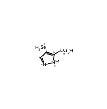 O=C(O)c1ccn[nH]1.[SeH2]